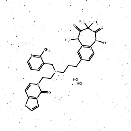 CCN1C(=O)C(C)(C)C(=O)N(C)c2cc(CCCN(CCn3ccc4sccc4c3=O)Cc3cccnc3C)ccc21.Cl.Cl